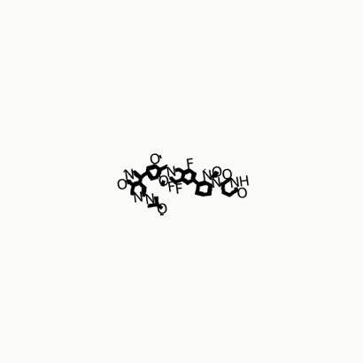 COc1cc(-c2cn(C)c(=O)c3cnc(N4CC(OC)C4)cc23)cc(OC)c1CN1Cc2c(F)cc(-c3cccc4c3n(C)c(=O)n4C3CCC(=O)NC3=O)cc2C(F)(F)C1